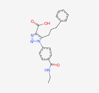 CCNC(=O)c1ccc(-n2nnc(C(=O)O)c2CCCc2ccccc2)cc1